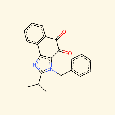 CC(C)c1nc2c(n1Cc1ccccc1)C(=O)C(=O)c1ccccc1-2